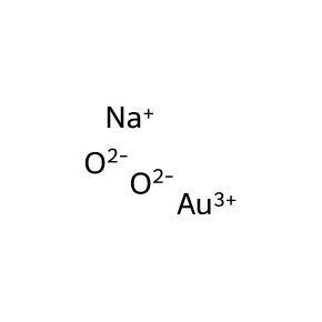 [Au+3].[Na+].[O-2].[O-2]